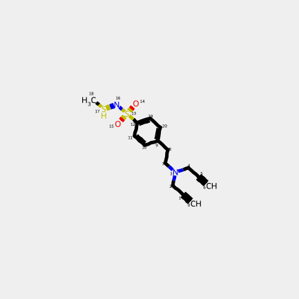 C#CCN(CC#C)CCc1ccc(S(=O)(=O)N=[SH]C)cc1